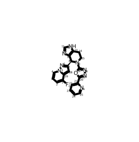 Fc1cccn2nc([C@H]3c4nc[nH]c4CCN3c3nnc(-c4ccccn4)o3)cc12